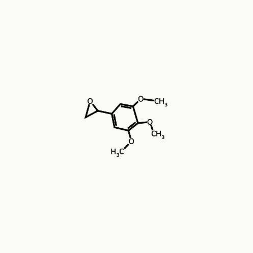 COc1cc(C2CO2)cc(OC)c1OC